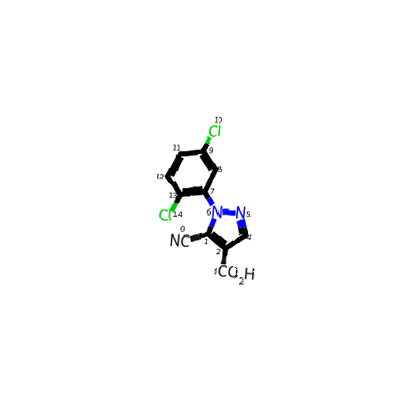 N#Cc1c(C(=O)O)cnn1-c1cc(Cl)ccc1Cl